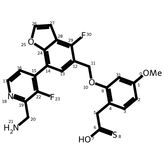 COc1ccc(CC(O)=S)c(OCc2cc(-c3ccnc(CN)c3F)c3occc3c2F)c1